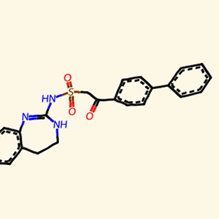 O=C(CS(=O)(=O)NC1=Nc2ccccc2CCN1)c1ccc(-c2ccccc2)cc1